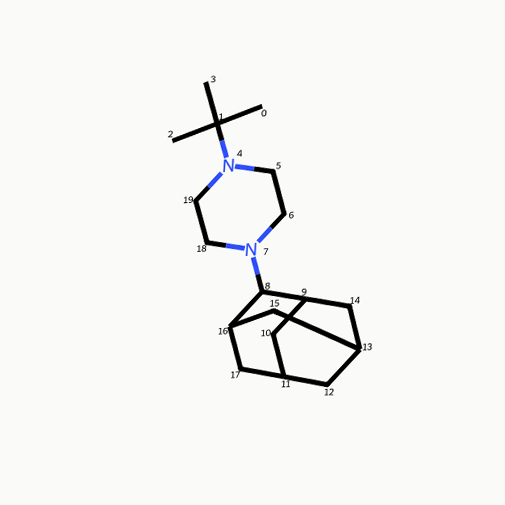 CC(C)(C)N1CCN(C2C3CC4CC(C3)CC2C4)CC1